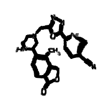 Cc1c(C2CN(Cc3nnc(-c4ccc(C#N)cn4)o3)CCN2)ccc2c1COC2=O